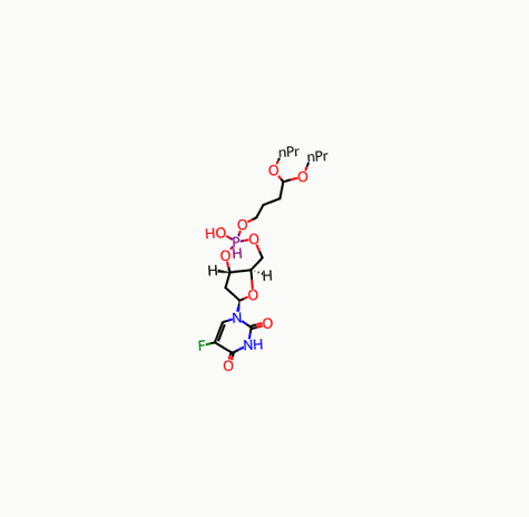 CCCOC(CCCO[PH]1(O)OC[C@H]2O[C@@H](n3cc(F)c(=O)[nH]c3=O)C[C@@H]2O1)OCCC